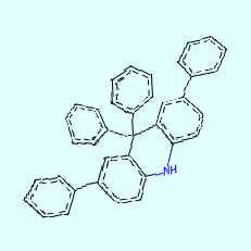 c1ccc(-c2ccc3c(c2)C(c2ccccc2)(c2ccccc2)c2cc(-c4ccccc4)ccc2N3)cc1